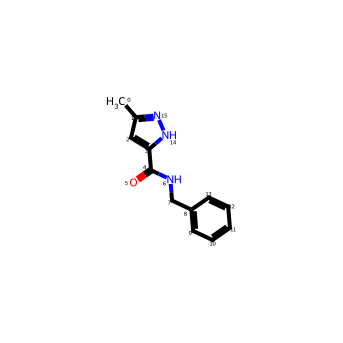 Cc1cc(C(=O)NCc2ccccc2)[nH]n1